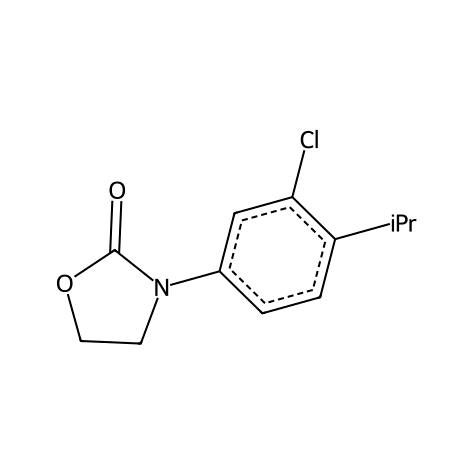 CC(C)c1ccc(N2CCOC2=O)cc1Cl